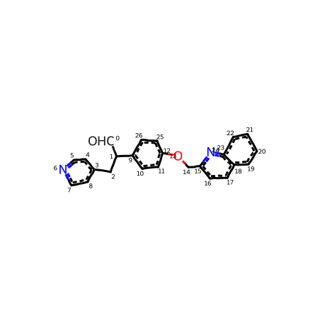 O=CC(Cc1ccncc1)c1ccc(OCc2ccc3ccccc3n2)cc1